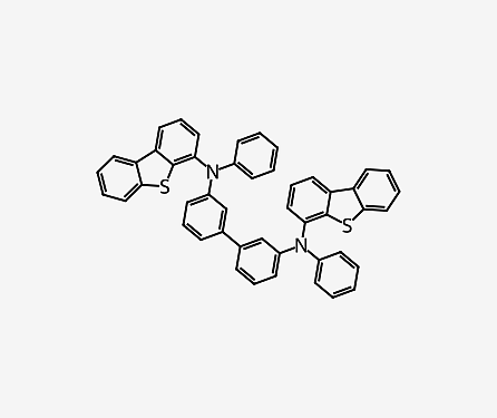 c1ccc(N(c2cccc(-c3cccc(N(c4ccccc4)c4cccc5c4sc4ccccc45)c3)c2)c2cccc3c2sc2ccccc23)cc1